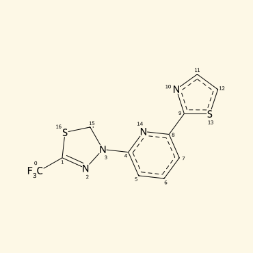 FC(F)(F)C1=NN(c2cccc(-c3nccs3)n2)[CH]S1